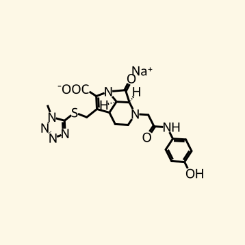 Cn1nnnc1SCC1=C(C(=O)[O-])N2C(=O)[C@@H]3[C@H]2C1CCN3CC(=O)Nc1ccc(O)cc1.[Na+]